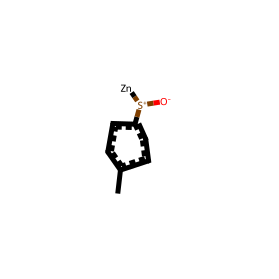 Cc1ccc([S+]([O-])[Zn])cc1